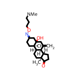 C=C1CC2(O)CC(=NOCCCNC)CC[C@]2(C)[C@@H]2CC[C@]3(C)C(=O)CC[C@H]3[C@H]12